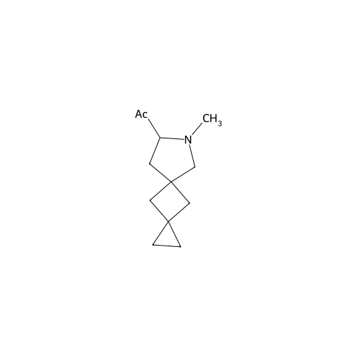 CC(=O)C1CC2(CN1C)CC1(CC1)C2